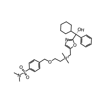 CN(C)S(=O)(=O)c1ccc(COCC[N+](C)(C)Cc2cnc([C@](O)(c3ccccc3)C3CCCCC3)o2)cc1